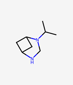 CC(C)N1CNC2CC1C2